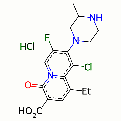 CCc1cc(C(=O)O)c(=O)n2cc(F)c(N3CCNC(C)C3)c(Cl)c12.Cl